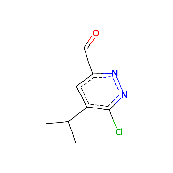 CC(C)c1cc(C=O)nnc1Cl